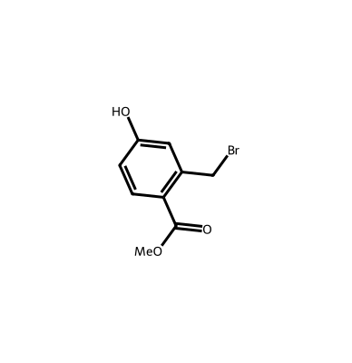 COC(=O)c1ccc(O)cc1CBr